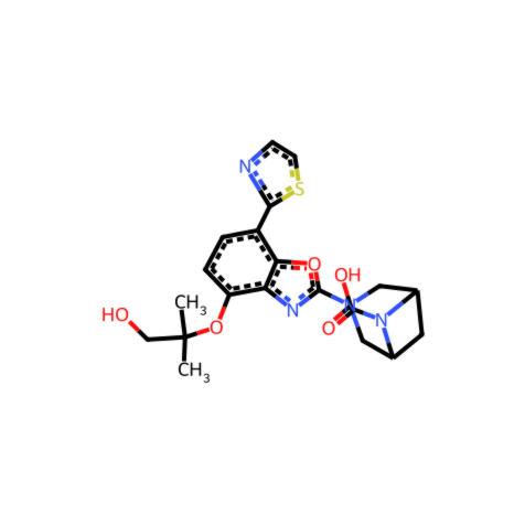 CC(C)(CO)Oc1ccc(-c2nccs2)c2oc(N3CC4CC(C3)N4C(=O)O)nc12